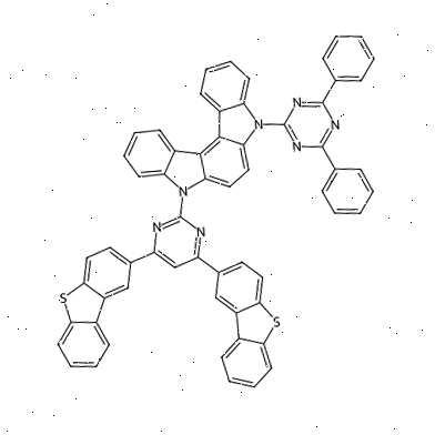 c1ccc(-c2nc(-c3ccccc3)nc(-n3c4ccccc4c4c5c6ccccc6n(-c6nc(-c7ccc8sc9ccccc9c8c7)cc(-c7ccc8sc9ccccc9c8c7)n6)c5ccc43)n2)cc1